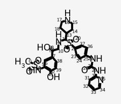 CS(=O)(=O)Nc1cc([C@@H](O)CNC(C2CCNCC2)S(=O)(=O)c2ccc(NC(=O)Nc3ccccn3)cc2)ccc1O